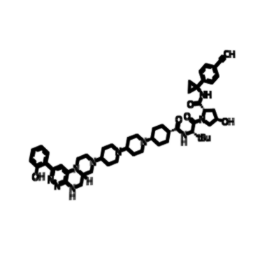 C#Cc1ccc(C2(NC(=O)[C@@H]3C[C@@H](O)CN3C(=O)[C@@H](NC(=O)[C@H]3CC[C@H](N4CCC(N5CCC(N6CCN7c8cc(-c9ccccc9O)nnc8NC[C@H]7C6)CC5)CC4)CC3)C(C)(C)C)CC2)cc1